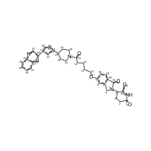 O=C1CCC(N2Cc3cc(OCCCCC(=O)N4CCC(n5cc(-c6cnc7ccccc7n6)cn5)CC4)ccc3C2=O)C(=O)N1